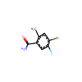 Cc1cc(Br)c(F)cc1C(N)=O